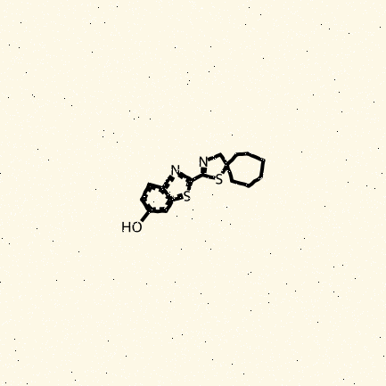 Oc1ccc2nc(C3=NCC4(CCCCCC4)S3)sc2c1